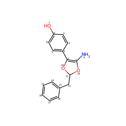 NC1=C(c2ccc(O)cc2)OC(Cc2ccccc2)O1